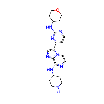 c1cc(-c2cnc3c(NC4CCNCC4)nccn23)nc(NC2CCOCC2)n1